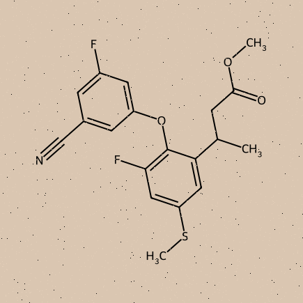 COC(=O)CC(C)c1cc(SC)cc(F)c1Oc1cc(F)cc(C#N)c1